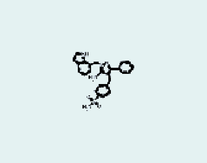 Nc1c(Cc2ccc(S(N)(=O)=O)cc2)c(-c2ccccc2)nn1Cc1cccc2cc[nH]c12